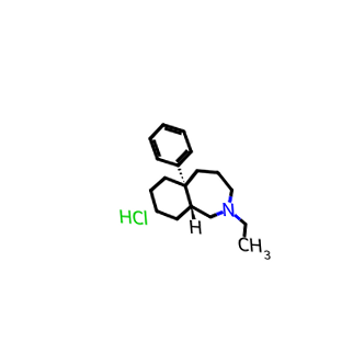 CCN1CCC[C@]2(c3ccccc3)CCCC[C@H]2C1.Cl